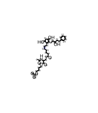 CC(=O)NC(CSC(=O)CCC/C=C\C[C@@H]1[C@@H](CC[C@@H](O)CCc2ccccc2)[C@H](O)C[C@@H]1O)C(=O)OCCCCO[N+](=O)[O-]